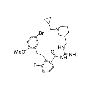 COc1ccc(Br)cc1CCc1c(F)cccc1C(=O)NC(=N)NCC1CCCN(CC2CC2)C1